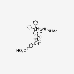 CC(=O)NCCNC(=O)Cn1c(-c2ccccc2)c(C2CCCCC2)c2ccc(C(=O)NC3(C(=O)Nc4ccc(C=CC(=O)O)cc4)CCCC3)cc21